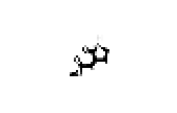 COC(=O)CC1CCNC1=O